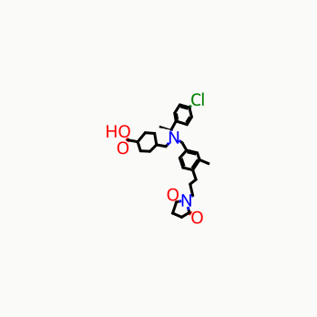 Cc1cc(CN(CC2CCC(C(=O)O)CC2)[C@@H](C)c2ccc(Cl)cc2)ccc1CCCN1C(=O)CCC1=O